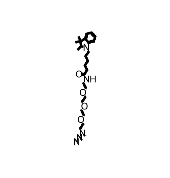 CC1N(CCCCCC(=O)NCCOCCOCCOCCN=[N+]=[N-])c2ccccc2C1(C)C